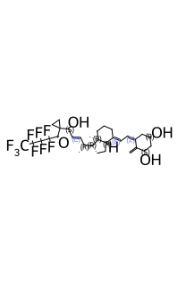 C=C1/C(=C\C=C2/CCC[C@]3(C)[C@@H]([C@H](C)/C=C/[C@H](O)C4(C(=O)C(F)(F)C(F)(F)C(F)(F)C(F)(F)F)CC4)CC[C@@H]23)C[C@@H](O)C[C@@H]1O